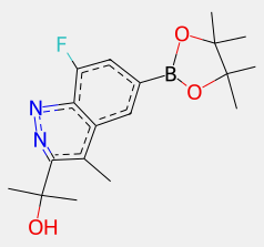 Cc1c(C(C)(C)O)nnc2c(F)cc(B3OC(C)(C)C(C)(C)O3)cc12